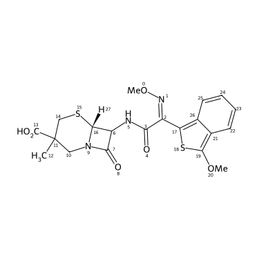 CON=C(C(=O)NC1C(=O)N2CC(C)(C(=O)O)CS[C@H]12)c1sc(OC)c2ccccc12